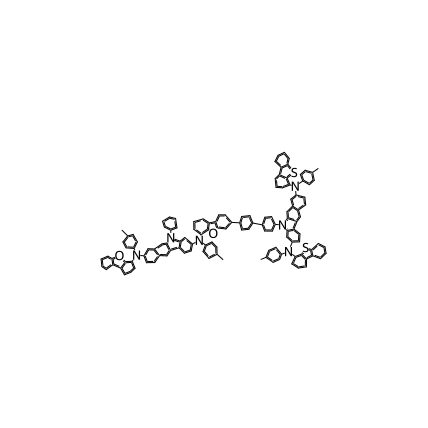 Cc1ccc(N(c2ccc3cc4c5ccc(N(c6ccc(C)cc6)c6cccc7c6oc6cc(-c8ccc(-c9ccc(-n%10c%11cc(N(c%12ccc(C)cc%12)c%12cccc%13c%12sc%12ccccc%12%13)ccc%11c%11cc%12ccc(N(c%13ccc(C)cc%13)c%13cccc%14c%13sc%13ccccc%13%14)cc%12cc%11%10)cc9)cc8)ccc67)cc5n(-c5ccccc5)c4cc3c2)c2cccc3c2oc2ccccc23)cc1